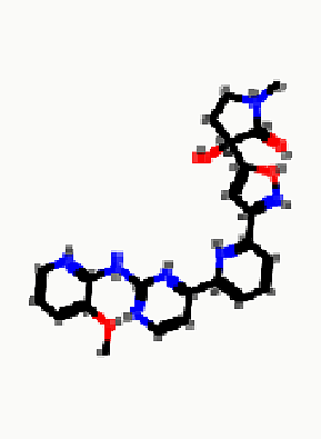 COc1cccnc1Nc1nccc(-c2cccc(-c3cc([C@]4(O)CCN(C)C4=O)on3)n2)n1